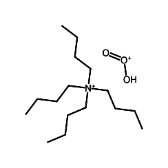 CCCC[N+](CCCC)(CCCC)CCCC.O=[O+]O